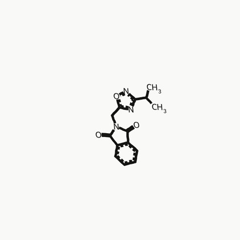 CC(C)c1noc(CN2C(=O)c3ccccc3C2=O)n1